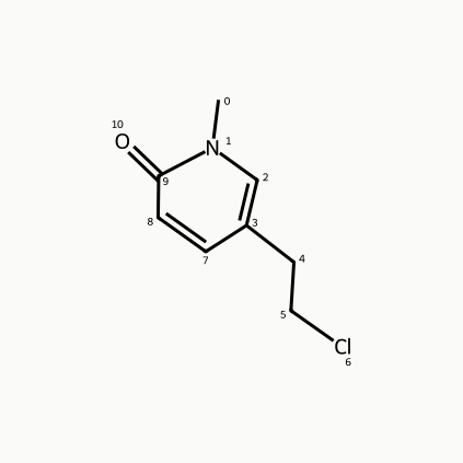 Cn1cc(CCCl)ccc1=O